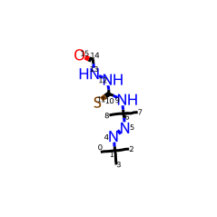 CC(C)(C)N=NC(C)(C)NC(=S)NNC=O